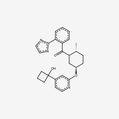 C[C@@H]1CC[C@@H](Oc2cc(C3(O)CCC3)ccn2)CN1C(=O)c1ccccc1-n1nccn1